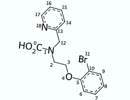 O=C(O)N(CCOc1ccccc1Br)Cc1ccccn1